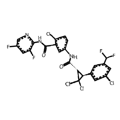 O=C(Nc1ncc(F)cc1F)c1cc(NC(=O)[C@@H]2[C@@H](c3cc(Cl)cc(C(F)F)c3)C2(Cl)Cl)ccc1Cl